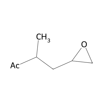 CC(=O)C(C)CC1CO1